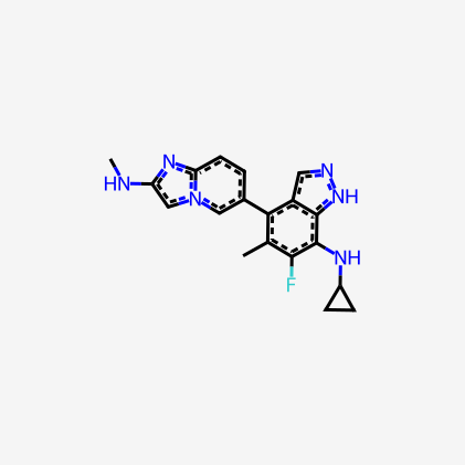 CNc1cn2cc(-c3c(C)c(F)c(NC4CC4)c4[nH]ncc34)ccc2n1